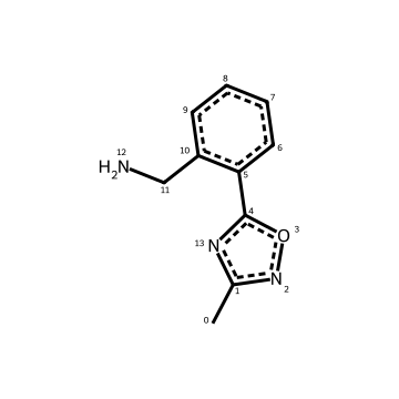 Cc1noc(-c2ccccc2CN)n1